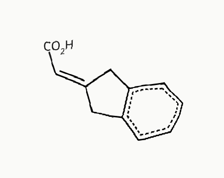 O=C(O)C=C1Cc2ccccc2C1